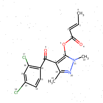 CC=CC(=O)Oc1c(C(=O)c2ccc(Cl)cc2Cl)c(C)nn1C